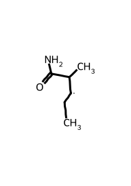 CC[CH]C(C)C(N)=O